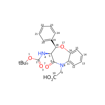 CC(C)(C)OC(=O)N[C@@H]1C(=O)N(CC(=O)O)c2ccccc2O[C@@H]1c1ccccc1